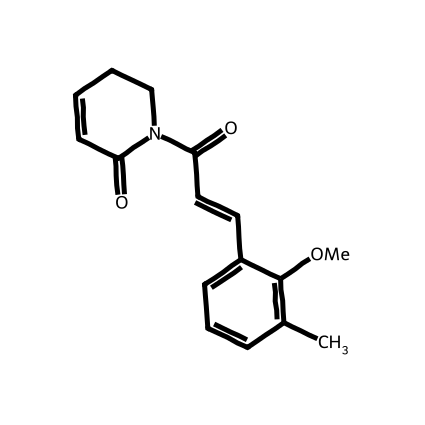 COc1c(C)cccc1/C=C/C(=O)N1CCC=CC1=O